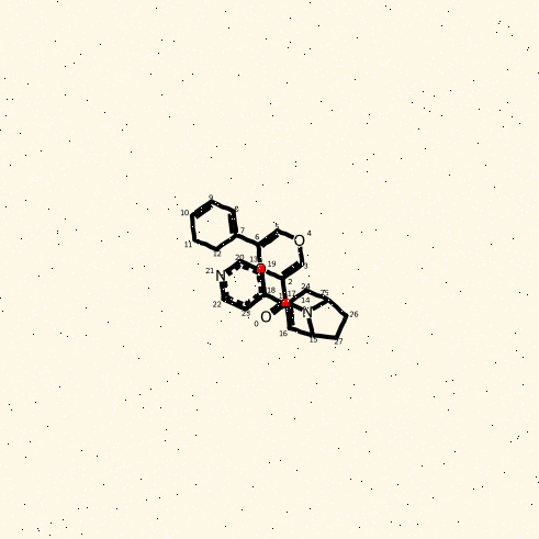 O=C(C1=COC=C(C2=CC=CCC2)O1)N1C2C=C(c3ccncc3)CC1CC2